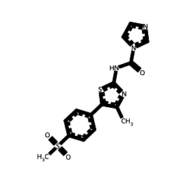 Cc1nc(NC(=O)n2ccnc2)sc1-c1ccc(S(C)(=O)=O)cc1